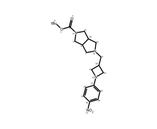 CC(C)(C)OC(=O)N1CC2CN(CC3CN(c4ccc([N+](=O)[O-])cc4)C3)CC2C1